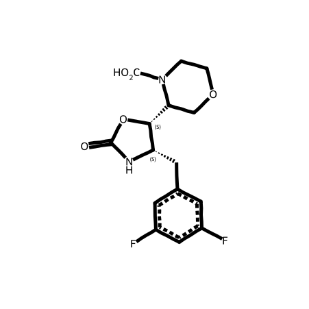 O=C1N[C@@H](Cc2cc(F)cc(F)c2)[C@@H](C2COCCN2C(=O)O)O1